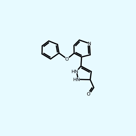 O=CC1C=C(c2cnccc2Oc2ccccc2)NN1